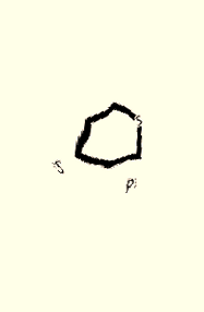 C1CCSCC1.[P].[S]